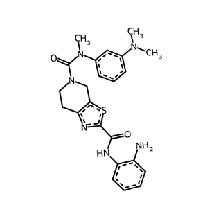 CN(C)c1cccc(N(C)C(=O)N2CCc3nc(C(=O)Nc4ccccc4N)sc3C2)c1